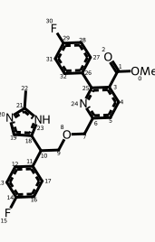 COC(=O)c1ccc(COCC(c2ccc(F)cc2)c2cnc(C)[nH]2)nc1-c1ccc(F)cc1